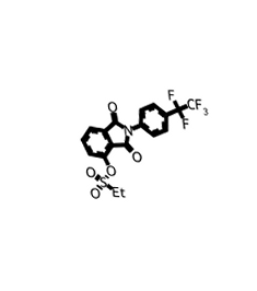 CCS(=O)(=O)Oc1cccc2c1C(=O)N(c1ccc(C(F)(F)C(F)(F)F)cc1)C2=O